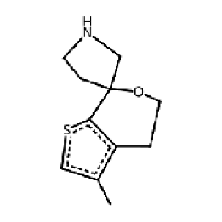 Cc1csc2c1CCOC21CCNC1